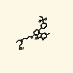 CCN(CCO)CCCOc1ccc(-c2cccc(S(=O)(=O)CC)c2)c2c1[nH]c1ncc(C)cc12